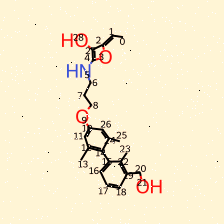 C/C=C1\OC(NCCCOc2cc(C)c(-c3cccc(CO)c3C)c(C)c2)=C1O